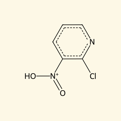 O=[N+](O)c1cccnc1Cl